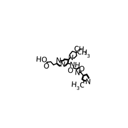 Cc1cc(-c2nc(C(=O)Nc3cn4cc(CCC(=O)O)nc4cc3N3CCC(C)(C)CC3)co2)ccn1